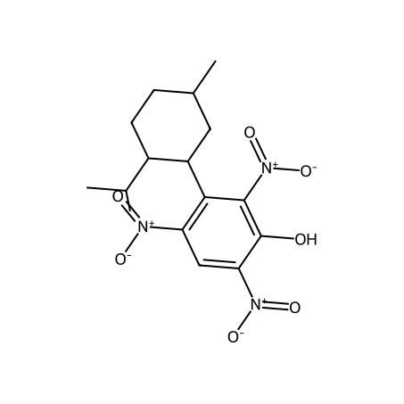 CC1CCC(C(C)C)C(c2c([N+](=O)[O-])cc([N+](=O)[O-])c(O)c2[N+](=O)[O-])C1